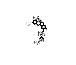 CN1C2C1C21Cc2cc(F)c(CNS(=O)(=O)c3cnn(C)c3)cc2C1Cc1cccc(C(F)(F)F)c1